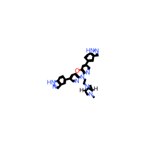 CN1C[C@H]2C[C@@H]1CN2CCN1c2ncc(-c3ccc4[nH]ncc4c3)cc2Oc2cc(-c3ccc4[nH]ncc4c3)cnc21